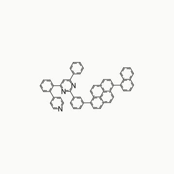 c1ccc(-c2cc(-c3ccccc3-c3ccncc3)nc(-c3cccc(-c4ccc5ccc6c(-c7cccc8ccccc78)ccc7ccc4c5c76)c3)n2)cc1